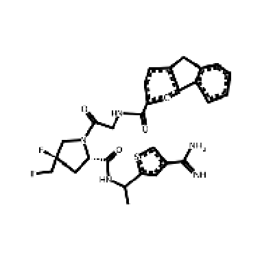 CC(NC(=O)[C@@H]1C[C@](F)(CF)CN1C(=O)CNC(=O)c1ccc2c(c1)-c1ccccc1C2)c1cc(C(=N)N)cs1